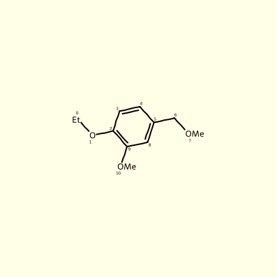 CCOc1ccc(COC)cc1OC